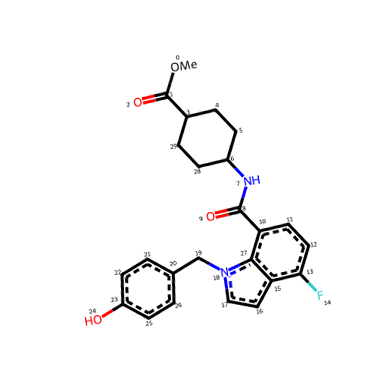 COC(=O)C1CCC(NC(=O)c2ccc(F)c3ccn(Cc4ccc(O)cc4)c23)CC1